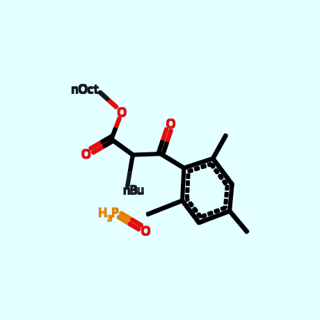 CCCCCCCCOC(=O)C(CCCC)C(=O)c1c(C)cc(C)cc1C.O=[PH3]